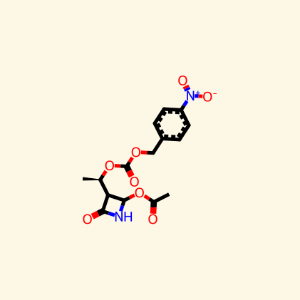 CC(=O)OC1NC(=O)C1[C@@H](C)OC(=O)OCc1ccc([N+](=O)[O-])cc1